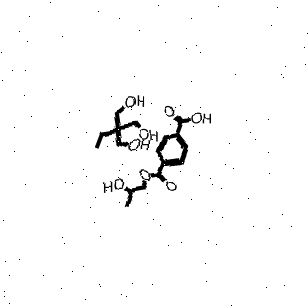 CC(O)COC(=O)c1ccc(C(=O)O)cc1.CCC(CO)(CO)CO